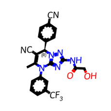 CC1=C(C#N)[C@@H](c2ccc(C#N)cc2)n2nc(NC(=O)CO)nc2N1c1cccc(C(F)(F)F)c1